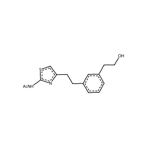 CC(=O)Nc1nc(CCc2cccc(CCO)c2)cs1